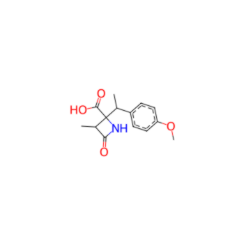 COc1ccc(C(C)C2(C(=O)O)NC(=O)C2C)cc1